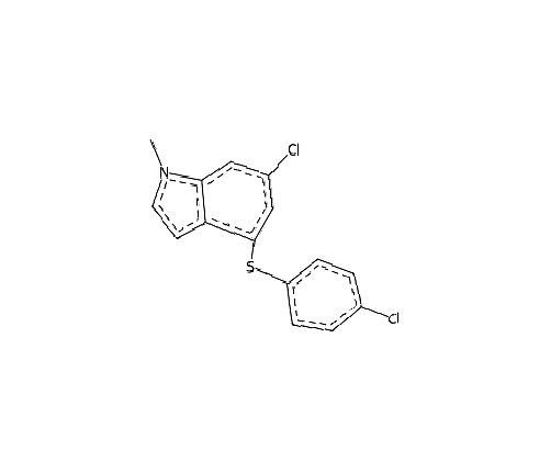 Cn1ccc2c(Sc3ccc(Cl)cc3)cc(Cl)cc21